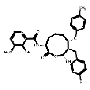 COc1ccnc(C(=O)N[C@H]2CCC[C@H](Oc3ccc(C)cc3)[C@@H](Cc3ccc(F)cc3)[C@H](C)OC2=O)c1O